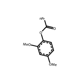 [CH2]CCC(=O)Oc1ccc(OC)cc1OC